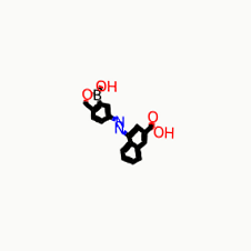 O=C(O)c1cc(N=Nc2ccc3c(c2)B(O)OC3)c2ccccc2c1